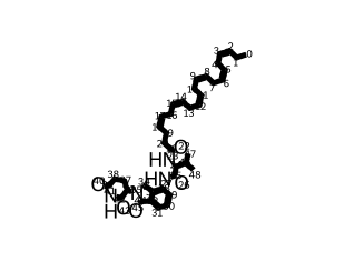 CC/C=C\C/C=C\C/C=C\C/C=C\C/C=C\C/C=C\CCC(=O)N[C@H](C(=O)Nc1cccc2c1CN(C1CCC(=O)NC1=O)C2=O)C(C)C